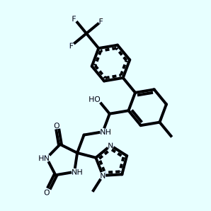 CC1C=C(C(O)NCC2(c3nccn3C)NC(=O)NC2=O)C(c2ccc(C(F)(F)F)cc2)=CC1